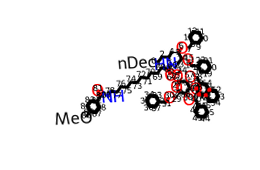 CCCCCCCCCCCCCC[C@@H](OCc1ccccc1)[C@@H](OCc1ccccc1)[C@H](CO[C@H]1O[C@H](COCc2ccccc2)[C@H](OCc2ccccc2)[C@H](OCc2ccccc2)[C@H]1OCc1ccccc1)NC(=O)CCCCCCCCCCCNC(=O)c1ccc(OC)cc1